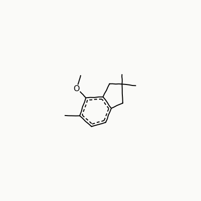 COc1c(C)ccc2c1CC(C)(C)C2